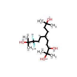 CC(C)(O)CC[C](CCC(O)C(C)(C)O)CCC(F)(F)C(C)(C)O